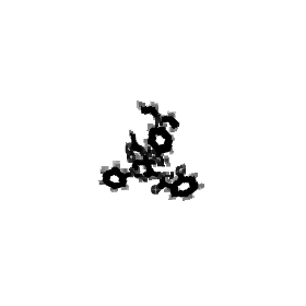 CC(=O)NC1(Nc2ccccc2)C(=O)N(c2ccccc2)N=C1NC(=O)c1ccccc1Cl.CCNCC